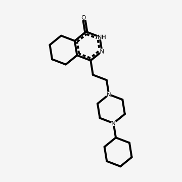 O=c1[nH]nc(CCN2CCN(C3CCCCC3)CC2)c2c1CCCC2